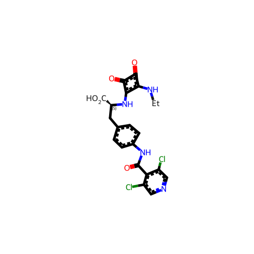 CCNc1c(N[C@@H](Cc2ccc(NC(=O)c3c(Cl)cncc3Cl)cc2)C(=O)O)c(=O)c1=O